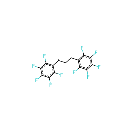 Fc1c(F)c(F)c([CH]CCc2c(F)c(F)c(F)c(F)c2F)c(F)c1F